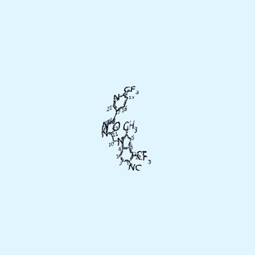 [C-]#[N+]c1ccc2c(cc(C)n2Cc2nnc(-c3ccc(C(F)(F)F)nc3)o2)c1C(F)(F)F